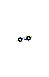 Fc1ccc(N=Cc2ccc(F)cc2F)cc1